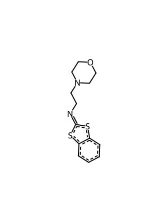 c1ccc2sc(=NCCN3CCOCC3)sc2c1